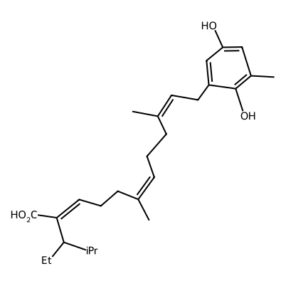 CCC(C(=CCCC(C)=CCCC(C)=CCc1cc(O)cc(C)c1O)C(=O)O)C(C)C